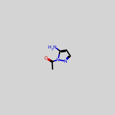 CC(=O)n1nccc1N